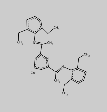 CCc1cccc(CC)c1N=C(C)c1cccc(C(C)=Nc2c(CC)cccc2CC)n1.[Co]